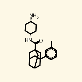 Cc1cccc(C23CC4CC(CC(C(=O)N[C@H]5CC[C@H](N)CC5)(C4)C2)C3)c1